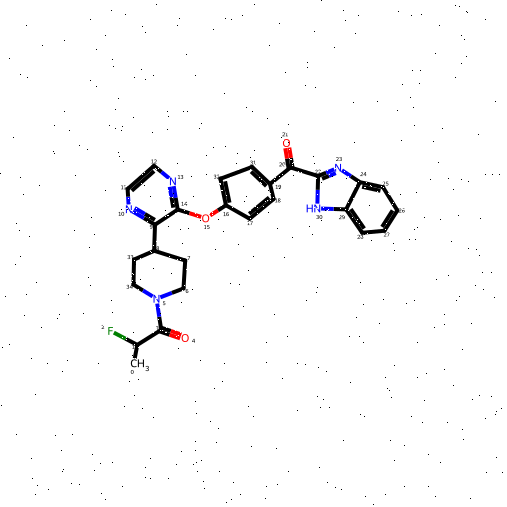 CC(F)C(=O)N1CCC(c2nccnc2Oc2ccc(C(=O)c3nc4ccccc4[nH]3)cc2)CC1